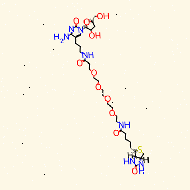 Nc1nc(=O)n([C@@H]2O[C@H](CO)CC2O)cc1CCCNC(=O)CCOCCOCCOCCOCCNC(=O)CCCC[C@@H]1SC[C@@H]2NC(=O)N[C@@H]21